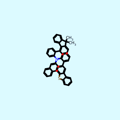 CC1(C)c2ccccc2-c2c(-c3ccccc3N(c3ccc4ccccc4c3)c3ccccc3-c3ccc4sc5ccccc5c4c3)cccc21